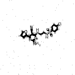 N#Cc1c(NCCNS(=O)(=O)c2ccc(Cl)cc2)nc(N)nc1-c1ccco1